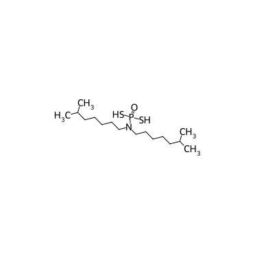 CC(C)CCCCCN(CCCCCC(C)C)P(=O)(S)S